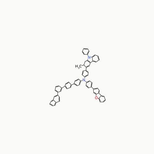 CC1Cc2c(c3ccccc3n2-c2ccccc2)C=C1c1ccc(N(c2ccc(-c3ccc(-c4cccc(-c5ccc6ccccc6c5)c4)cc3)cc2)c2ccc(-c3ccc4c(c3)oc3ccccc34)cc2)cc1